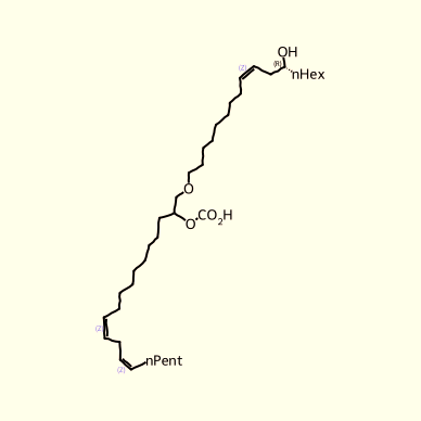 CCCCC/C=C\C/C=C\CCCCCCCCC(COCCCCCCCC/C=C\C[C@H](O)CCCCCC)OC(=O)O